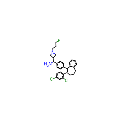 NC(c1ccc(C2=C(c3ccc(Cl)cc3Cl)CCCc3ccccc32)cc1)C1CN(CCCF)C1